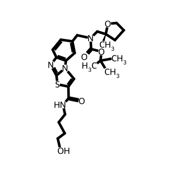 CC(C)(C)OC(=O)N(Cc1ccc2nc3sc(C(=O)NCCCCO)cn3c2c1)C[C@@]1(C)CCCO1